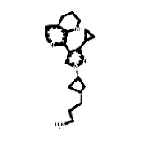 NCCC[C@H]1C[C@H](n2cc(-c3nccc4c3NCCC4)c(C3CC3)n2)C1